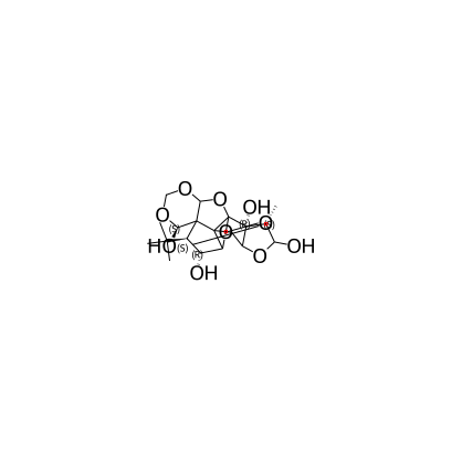 C[C@@H]1C(O)OC2CC34C5OC(=O)C3(OC3OCO[C@H](O)C34[C@H](C(C)(C)C)[C@H]5O)[C@]21O